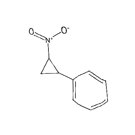 O=[N+]([O-])C1CC1c1ccccc1